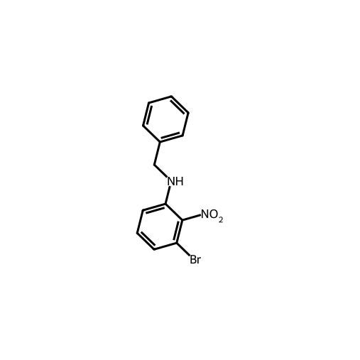 O=[N+]([O-])c1c(Br)cccc1NCc1ccccc1